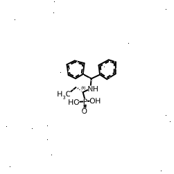 CC[C@H](NC(c1ccccc1)c1ccccc1)P(=O)(O)O